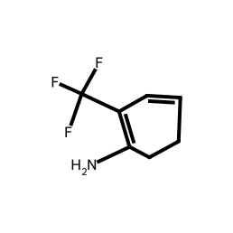 NC1=C(C(F)(F)F)C=CCC1